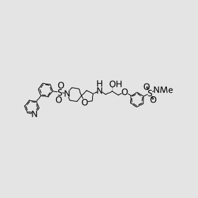 CNS(=O)(=O)c1cccc(OC[C@@H](O)CN[C@H]2COC3(CCN(S(=O)(=O)c4cccc(-c5cccnc5)c4)CC3)C2)c1